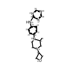 CC1CN(C2COC2)CCN1c1ccc(Nc2ncncn2)cc1